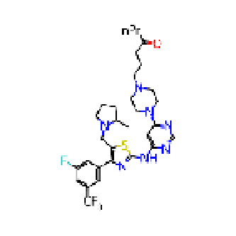 CCCC(=O)CCCN1CCN(c2cc(Nc3nc(-c4cc(F)cc(C(F)(F)F)c4)c(CN4CCCC4C)s3)ncn2)CC1